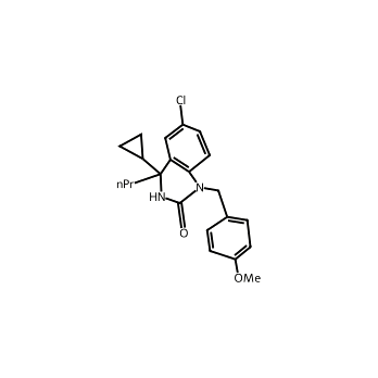 CCCC1(C2CC2)NC(=O)N(Cc2ccc(OC)cc2)c2ccc(Cl)cc21